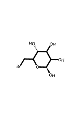 OC1C(O)[C@@H](O)OC(CBr)[C@@H]1O